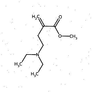 C=C(CCN(CC)CC)C(=O)OC